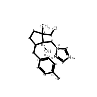 CC1(CCl)CCC(Cc2ccc(F)cc2)[C@]1(O)Cn1cncn1